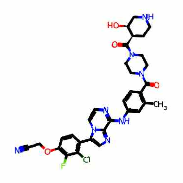 Cc1cc(Nc2nccn3c(-c4ccc(OCC#N)c(F)c4Cl)cnc23)ccc1C(=O)N1CCN(C(=O)[C@@H]2CCNC[C@@H]2O)CC1